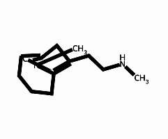 CNCC/C1=C2\CCC/C(=C/C1)CCN2C